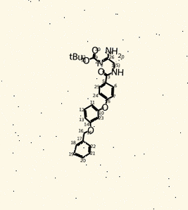 C[C@H](NC(=O)c1ccc(Oc2cccc(OCc3ccccc3)c2)cc1)C(N)=NC(=O)OC(C)(C)C